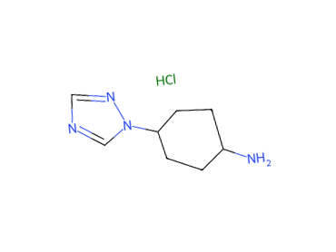 Cl.NC1CCC(n2cncn2)CC1